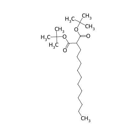 CCCCCCCCCCCC(C(=O)OC(C)(C)C)C(=O)OC(C)(C)C